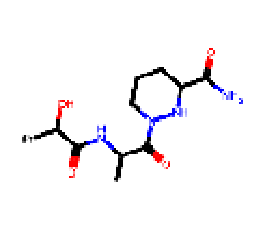 CC(NC(=O)C(O)C(C)C)C(=O)N1CCCC(C(N)=O)N1